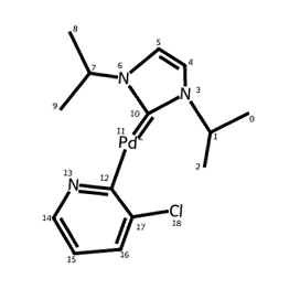 CC(C)n1ccn(C(C)C)[c]1=[Pd-][c]1ncccc1Cl